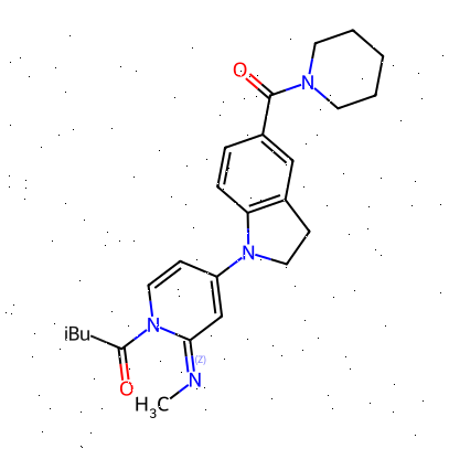 CCC(C)C(=O)n1ccc(N2CCc3cc(C(=O)N4CCCCC4)ccc32)c/c1=N/C